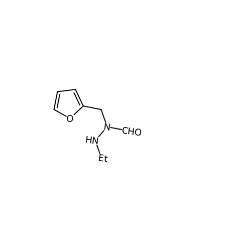 CCNN(C=O)Cc1ccco1